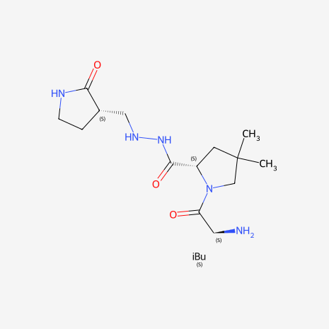 CC[C@H](C)[C@H](N)C(=O)N1CC(C)(C)C[C@H]1C(=O)NNC[C@@H]1CCNC1=O